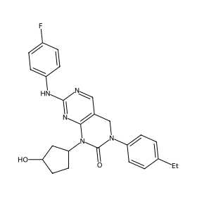 CCc1ccc(N2Cc3cnc(Nc4ccc(F)cc4)nc3N(C3CCC(O)C3)C2=O)cc1